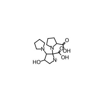 O=C(O)C1CCCN1C1(C(=O)O)[N]CC(O)C1N1CCCC1